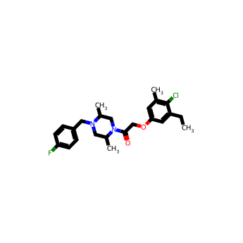 CCc1cc(OCC(=O)N2CC(C)N(Cc3ccc(F)cc3)CC2C)cc(C)c1Cl